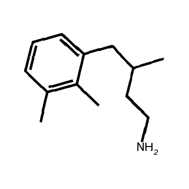 Cc1cccc(CC(C)CCN)c1C